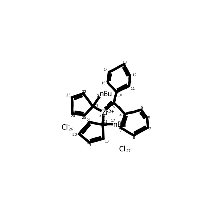 CCCC[C]1([Zr+2](=[C](c2ccccc2)c2ccccc2)[C]2(CCCC)C=CC=C2)C=CC=C1.[Cl-].[Cl-]